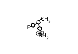 CCC1CC(c2ccc(F)cc2)=C(c2ccc(S(N)(=O)=O)cc2)C1